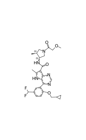 COCC(=O)N1C[C@H](C)[C@H](NC(=O)c2c(C)[nH]c3c(-c4cc(C(F)F)ccc4OCC4CC4)ncnc23)C1